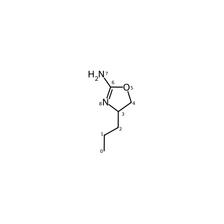 CCCC1COC(N)=N1